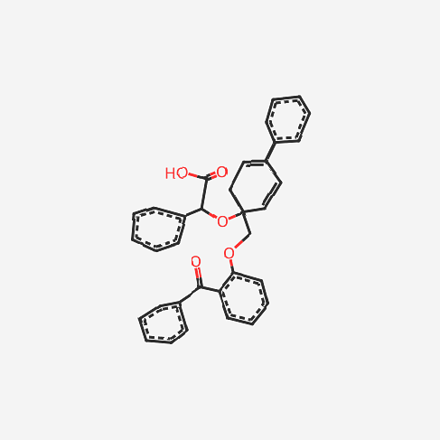 O=C(c1ccccc1)c1ccccc1OCC1(OC(C(=O)O)c2ccccc2)C=CC(c2ccccc2)=CC1